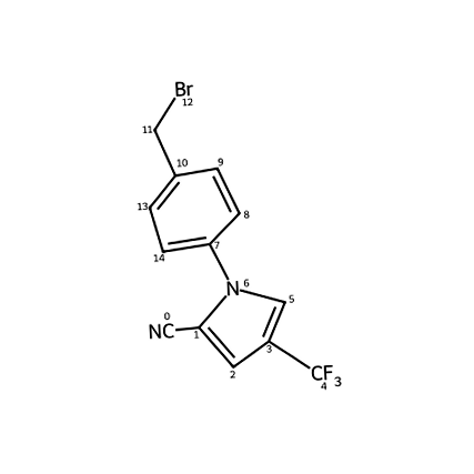 N#Cc1cc(C(F)(F)F)cn1-c1ccc(CBr)cc1